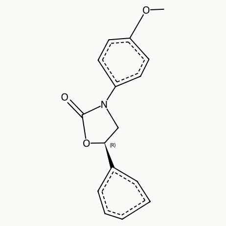 COc1ccc(N2C[C@@H](c3ccccc3)OC2=O)cc1